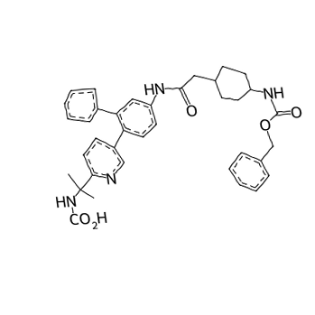 CC(C)(NC(=O)O)c1ccc(-c2ccc(NC(=O)CC3CCC(NC(=O)OCc4ccccc4)CC3)cc2-c2ccccc2)cn1